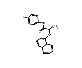 CC(OC1=CC=CC2C=CC=CC12)C(=O)Nc1ccc(F)cc1